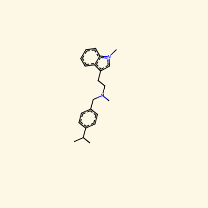 CC(C)c1ccc(CN(C)CCc2cn(C)c3ccccc23)cc1